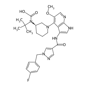 COc1cnc2[nH]cc(NC(=O)c3cnn(Cc4ccc(F)cc4)c3)c2c1N1CCC[C@@H](N(C(=O)O)C(C)(C)C)C1